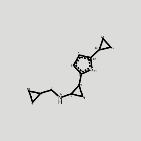 c1cc(C2CC2NCC2CC2)sc1C1CC1